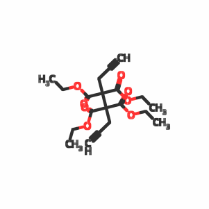 C#CCC(C(=O)OCC)(C(=O)OCC)C(CC#C)(C(=O)OCC)C(=O)OCC